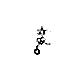 Cc1cn([C@@H]2O[C@@]3(CO)CC4(OCc5ccccc5)OCC2C43)c(=O)[nH]c1=O